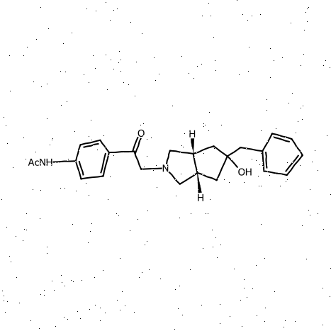 CC(=O)Nc1ccc(C(=O)CN2C[C@@H]3CC(O)(Cc4ccccc4)C[C@@H]3C2)cc1